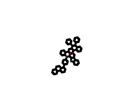 c1ccc(-c2c(-c3ccccc3)c3cc(-c4ccccc4N(c4ccc(-c5cccc6c5ccc5ccccc56)cc4)c4cccc5c4sc4ccccc45)ccc3c3ccccc23)cc1